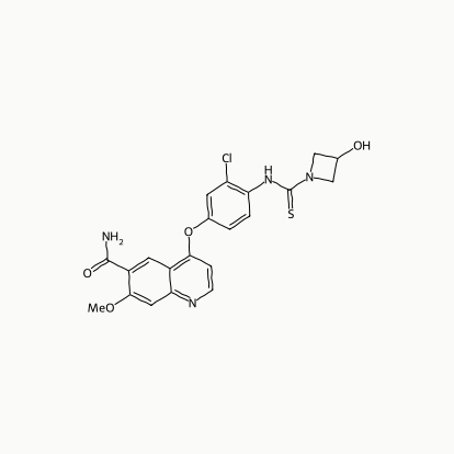 COc1cc2nccc(Oc3ccc(NC(=S)N4CC(O)C4)c(Cl)c3)c2cc1C(N)=O